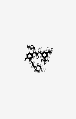 Cc1ccc(NC(=O)Nc2cc(C(F)(F)F)cc(C(F)(F)F)c2)cc1OCCN1CCNCC1.Cl.Cl